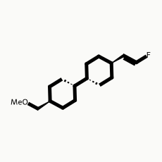 COC[C@H]1CC[C@H]([C@H]2CC[C@H](C=CF)CC2)CC1